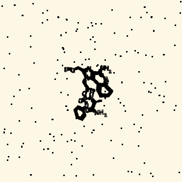 CCOCc1nc2c(N)nc3ccccc3c2n1C[C@@H](C)O[P@@](=O)(N[C@@H](C)C(N)=O)Oc1ccccc1